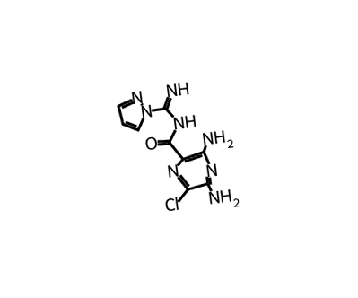 N=C(NC(=O)c1nc(Cl)c(N)nc1N)n1cccn1